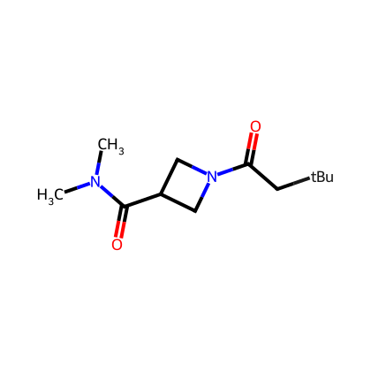 CN(C)C(=O)C1CN(C(=O)CC(C)(C)C)C1